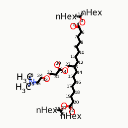 CCCCCCC(CCCCCC)OC(=O)CCCCCCCC(CCCCCCCC(=O)OC(CCCCCC)CCCCCC)COC(=O)CCOCCN(C)C